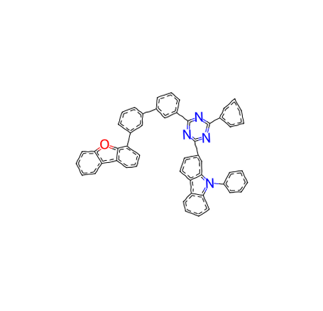 c1ccc(-c2nc(-c3cccc(-c4cccc(-c5cccc6c5oc5ccccc56)c4)c3)nc(-c3ccc4c5ccccc5n(-c5ccccc5)c4c3)n2)cc1